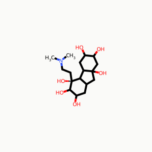 CN(C)CC[C@@]1(O)C(O)C(O)CC2CC3(O)CC(O)C(O)CC3C21